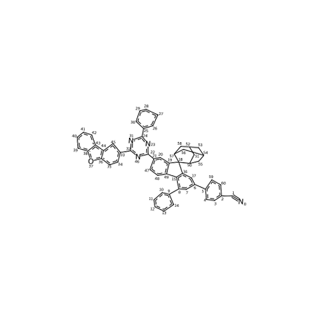 N#Cc1ccc(-c2cc(-c3ccccc3)c3c(c2)C2(c4cc(-c5nc(-c6ccccc6)nc(-c6ccc7oc8ccccc8c7c6)n5)ccc4-3)C3CC4CC(C3)CC2C4)cc1